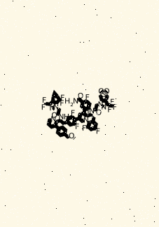 COCc1ccc(-c2cccnc2C(Cc2cc(F)c(-c3cnc([C@H](Cc4cc(F)cc(F)c4)NC(=O)Cn4nc(C(F)(F)F)c5c4CS(=O)(=O)C5)c(-c4ccc(F)c(C(N)=O)c4)c3)c(F)c2)NC(=O)Cn2nc(C(F)F)c3c2C(F)(F)C2CC32)cc1